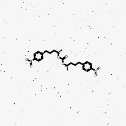 C[C@H](CCCc1ccc([N+](=O)[O-])cc1)OC(=O)O[C@H](C)CCCc1ccc([N+](=O)[O-])cc1